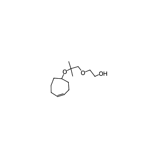 CC(C)(COCCO)OC1CC/C=C\CCC1